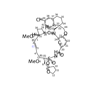 CO[C@H]1/C=C/C[C@@H](OC)[C@H](C[C@@H]2CCCO2)S(=O)(=O)NC(=O)c2ccc3c(c2)N(C[C@@H]2CC[C@H]21)C[C@@]1(CCCc2cc(Cl)ccc21)CO3